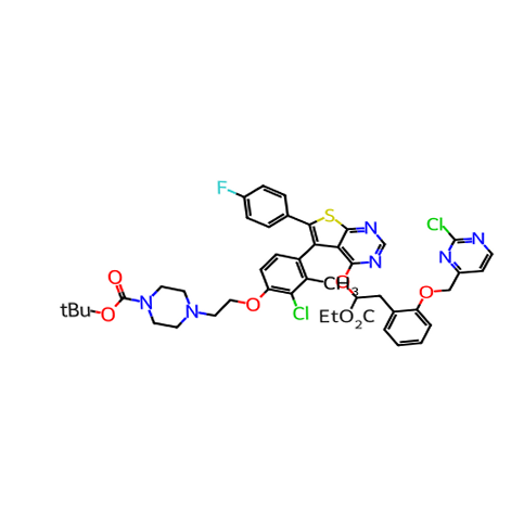 CCOC(=O)C(Cc1ccccc1OCc1ccnc(Cl)n1)Oc1ncnc2sc(-c3ccc(F)cc3)c(-c3ccc(OCCN4CCN(C(=O)OC(C)(C)C)CC4)c(Cl)c3C)c12